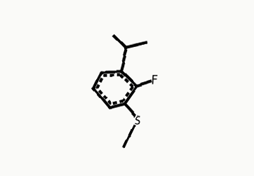 CSc1cccc(C(C)C)c1F